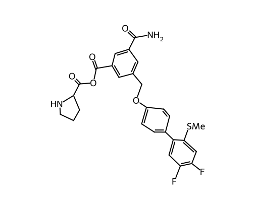 CSc1cc(F)c(F)cc1-c1ccc(OCc2cc(C(N)=O)cc(C(=O)OC(=O)C3CCCN3)c2)cc1